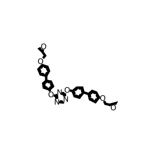 c1nc(Oc2ccc(-c3ccc(OCC4CO4)cc3)cc2)nc(Oc2ccc(-c3ccc(OCC4CO4)cc3)cc2)n1